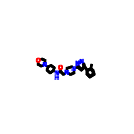 Cc1ccccc1-c1cnnc(N2CCN(CC(=O)N[C@H]3CC[C@H](N4CCOCC4)CC3)CC2)c1